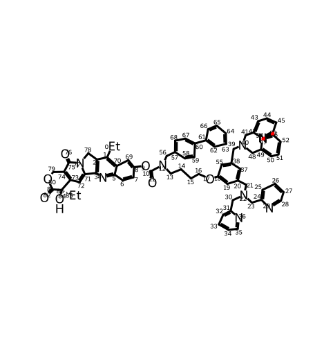 CCc1c2c(nc3ccc(OC(=O)N(CCCCOc4cc(CN(Cc5ccccn5)Cc5ccccn5)cc(CN(Cc5ccccn5)Cc5ccccn5)c4)Cc4ccc(-c5ccccc5)cc4)cc13)-c1cc3c(c(=O)n1C2)COC(=O)[C@@]3(O)CC